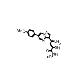 C=C(/C=C(\S)C(=O)NCCC)c1cnn2cc(-c3ccc(OC)cc3)cnc12